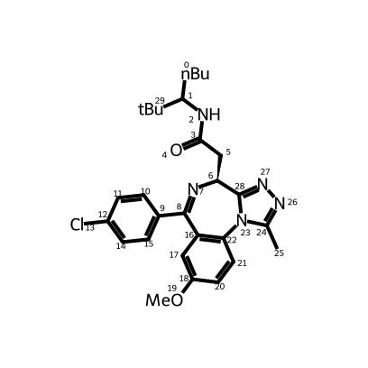 [CH2]CCCC(NC(=O)C[C@@H]1N=C(c2ccc(Cl)cc2)c2cc(OC)ccc2-n2c(C)nnc21)C(C)(C)C